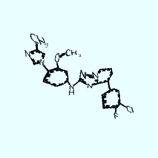 COc1cc(Nc2nc3c(-c4ccc(F)c(Cl)c4)cccn3n2)ccc1-n1cnc(C)c1